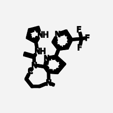 C=C(Nc1ccc[nH]1)N1CCCCN(C)c2ccc(-c3cncc(C(F)(F)F)c3)nc21